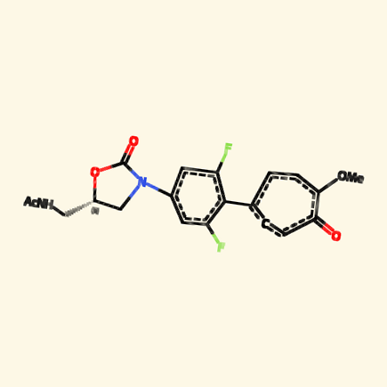 COc1ccc(-c2c(F)cc(N3C[C@H](CNC(C)=O)OC3=O)cc2F)ccc1=O